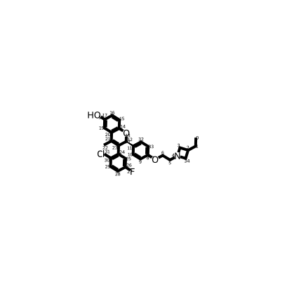 CCC1CN(CCOc2ccc([C@@H]3Oc4ccc(O)cc4C(C)=C3c3cc(F)ccc3Cl)cc2)C1